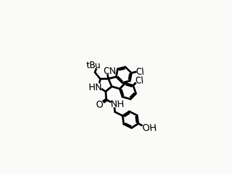 CC(C)(C)CC1NC(C(=O)NCc2ccc(O)cc2)C(c2cccc(Cl)c2)C1(C#N)c1ccc(Cl)cc1